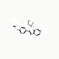 CCCOC(=O)Nc1ccc(-c2c(N)c3ccc(OCC)cc3n2C2CCOC2)cc1